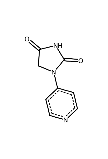 O=C1CN(c2ccncc2)C(=O)N1